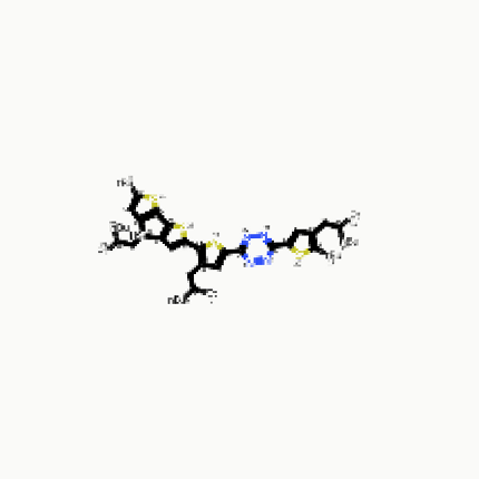 CCCCC(CC)Cc1cc(-c2nnc(-c3cc(CC(CC)CCCC)c(C(C)(C)C)s3)nn2)sc1-c1cc2c(s1)-c1sc(C(C)(C)C)cc1[SiH]2CC(CC)CCCC